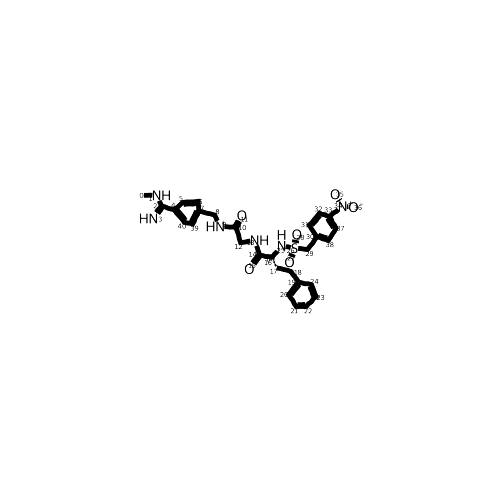 CNC(=N)c1ccc(CNC(=O)CNC(=O)[C@@H](CCc2ccccc2)NS(=O)(=O)Cc2ccc([N+](=O)[O-])cc2)cc1